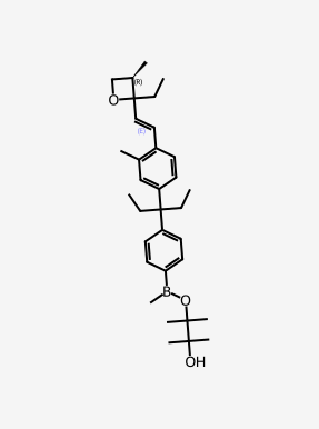 CCC(CC)(c1ccc(B(C)OC(C)(C)C(C)(C)O)cc1)c1ccc(/C=C/C2(CC)OC[C@H]2C)c(C)c1